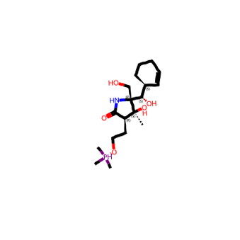 C[C@]1(O)[C@@H](CCO[PH](C)(C)C)C(=O)N[C@]1(CO)[C@@H](O)[C@@H]1C=CCCC1